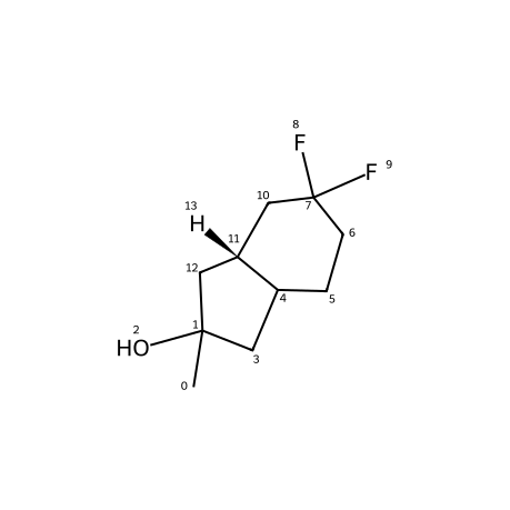 CC1(O)CC2CCC(F)(F)C[C@H]2C1